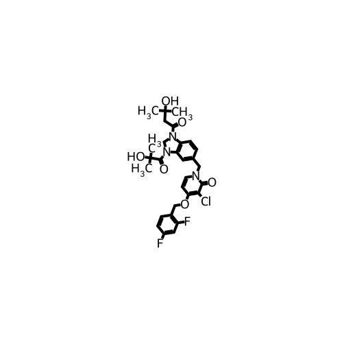 CC(C)(O)CC(=O)N1CN(C(=O)C(C)(C)O)c2cc(Cn3ccc(OCc4ccc(F)cc4F)c(Cl)c3=O)ccc21